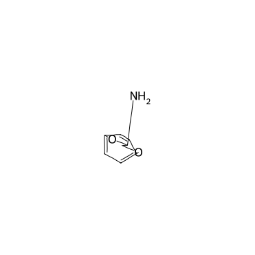 NC1COc2ccc(cc2)O1